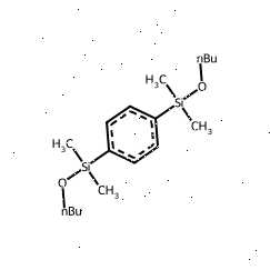 CCCCO[Si](C)(C)c1ccc([Si](C)(C)OCCCC)cc1